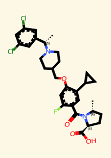 C[C@@H]1CC[C@@H](C(=O)O)N1C(=O)c1cc(C2CC2)c(OCC2CCN([C@@H](C)c3cc(Cl)cc(Cl)c3)CC2)cc1F